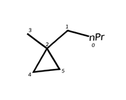 C[CH]CCC1(C)CC1